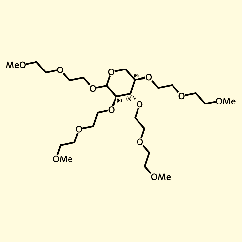 COCCOCCOC1OC[C@@H](OCCOCCOC)[C@H](OCCOCCOC)[C@H]1OCCOCCOC